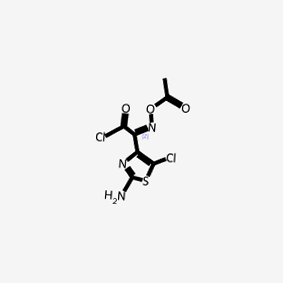 CC(=O)O/N=C(\C(=O)Cl)c1nc(N)sc1Cl